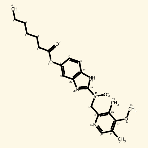 CCCCCCC(=O)Oc1ccc2[nH]c([S+]([O-])Cc3ncc(C)c(OC)c3C)nc2c1